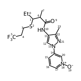 CCC(SCCC(F)(F)F)C(C)C(=O)Nc1cn(-c2ccc[n+]([O-])c2)nc1C